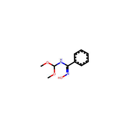 COC(NC(=NO)c1ccccc1)OC